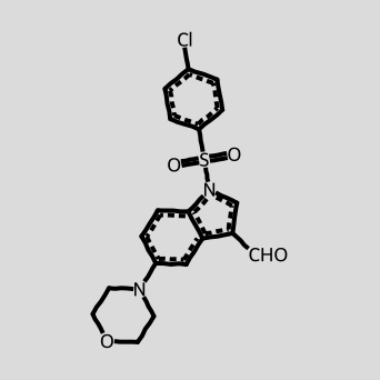 O=Cc1cn(S(=O)(=O)c2ccc(Cl)cc2)c2ccc(N3CCOCC3)cc12